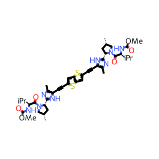 COC(=O)N[C@H](C(=O)N1C[C@@H](C)C[C@H]1c1nc(C)c(C#Cc2cc3sc(C#Cc4[nH]c([C@@H]5C[C@H](C)CN5C(=O)[C@@H](NC(=O)OC)C(C)C)nc4C)cc3s2)[nH]1)C(C)C